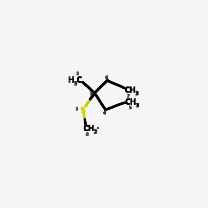 [CH2]SC(C)(CC)CC